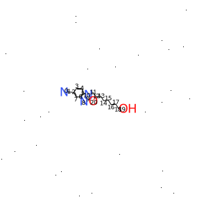 N#Cc1ccc2c(c1)nc1n2CC(CCCCCCO)O1